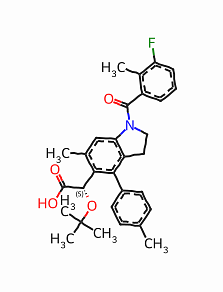 Cc1ccc(-c2c3c(cc(C)c2[C@H](OC(C)(C)C)C(=O)O)N(C(=O)c2cccc(F)c2C)CC3)cc1